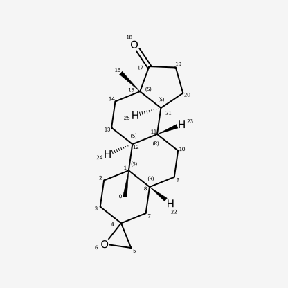 C[C@]12CCC3(CO3)C[C@H]1CC[C@@H]1[C@@H]2CC[C@]2(C)C(=O)CC[C@@H]12